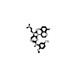 C=Nc1ccc(C#N)cc1N(C)C(=C)/N=C1\C(=C/N)N(CCN(C)C)C(=O)N1[C@@H]1CCOc2c(F)ccc(F)c21